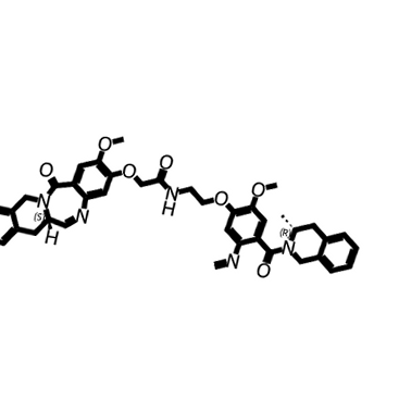 C=Nc1cc(OCCNC(=O)COc2cc3c(cc2OC)C(=O)N2Cc4ccccc4C[C@H]2C=N3)c(OC)cc1C(=O)N1Cc2ccccc2C[C@H]1C